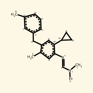 CCN(C)C=Nc1cc(C)c(Cc2cccc(C)c2)cc1C1CC1